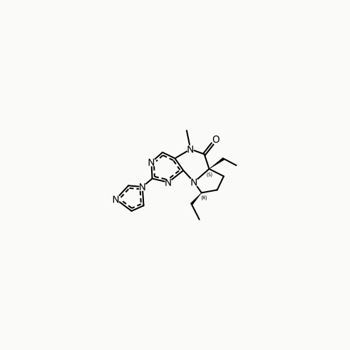 CC[C@@H]1CC[C@@]2(CC)C(=O)N(C)c3cnc(-n4ccnc4)nc3N12